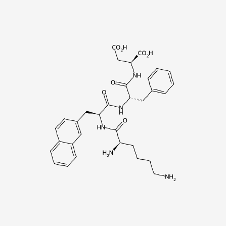 NCCCC[C@@H](N)C(=O)N[C@@H](Cc1ccc2ccccc2c1)C(=O)N[C@@H](Cc1ccccc1)C(=O)N[C@@H](CC(=O)O)C(=O)O